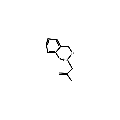 C=C(C)C[SiH]1OCc2ccccc2O1